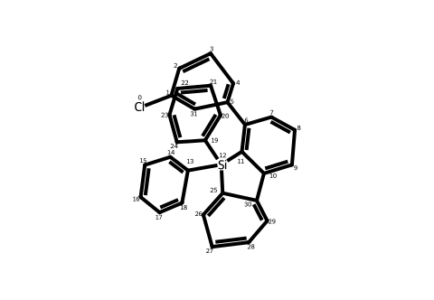 Clc1cccc(-c2cccc3c2[Si](c2ccccc2)(c2ccccc2)c2ccccc2-3)c1